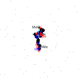 COCOc1cc(-c2ncc3c(N4CCC[C@@](C)(O)C4)nc(OCC4(CN5CCN(CC6CCC7(CC6)CCN(C(=O)c6ccc(OC)c(N8CCC(=O)NC8=O)c6)CC7)CC5)CC4)nc3c2F)c2c(C#C[Si](C(C)C)(C(C)C)C(C)C)cccc2c1